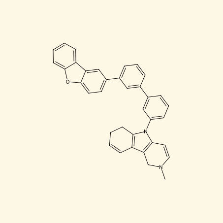 CN1C=Cc2c(c3c(n2-c2cccc(-c4cccc(-c5ccc6oc7ccccc7c6c5)c4)c2)CCC=C3)C1